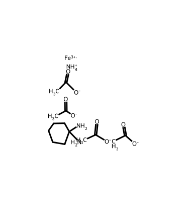 CC(=O)[O-].CC(=O)[O-].CC(=O)[O-].CC(=O)[O-].NC1(N)CCCCC1.[Fe+3].[NH4+]